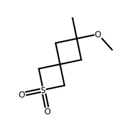 COC1(C)CC2(C1)CS(=O)(=O)C2